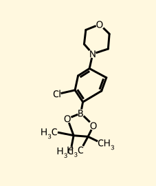 CC1(C)OB(c2ccc(N3CCOCC3)cc2Cl)OC1(C)C